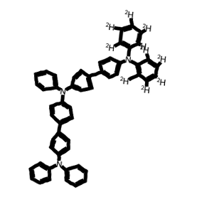 [2H]c1c([2H])c([2H])c(N(c2ccc(-c3ccc(N(c4ccccc4)c4ccc(-c5ccc(N(c6ccccc6)c6ccccc6)cc5)cc4)cc3)cc2)c2c([2H])c([2H])c([2H])c([2H])c2[2H])c([2H])c1[2H]